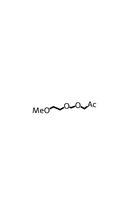 COCCOCOCC(C)=O